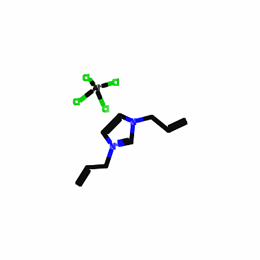 C=CCn1cc[n+](CC=C)c1.[Cl][Al-]([Cl])([Cl])[Cl]